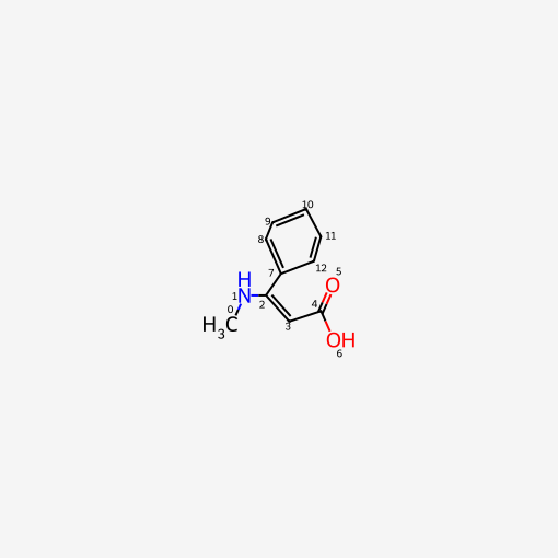 CN/C(=C/C(=O)O)c1ccccc1